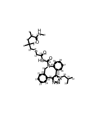 CNC(=O)C(C)CC(C)(C)CSCC(=O)BC(=O)N1Cc2ccccc2-c2nnn(CC(C)C)c2-c2ccccc21